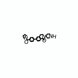 O=C(c1ccc(-c2ccc3c(c2)CCN(C2CCNCC2)C3=O)cc1)N1CCCC1